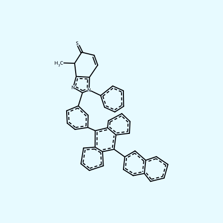 CC1C(=S)C=Cc2c1nc(-c1cccc(-c3c4ccccc4c(-c4ccc5ccccc5c4)c4ccccc34)c1)n2-c1ccccc1